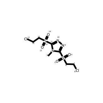 Cn1c(S(=O)(=O)CCCl)nnc1S(=O)(=O)CCCl